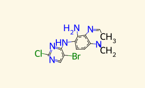 C=Nc1ccc(Nc2nc(Cl)ncc2Br)c(N)c1/N=C\C